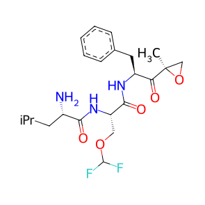 CC(C)C[C@H](N)C(=O)N[C@@H](COC(F)F)C(=O)N[C@@H](Cc1ccccc1)C(=O)[C@@]1(C)CO1